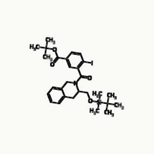 CC(C)(C)OC(=O)c1ccc(I)c(C(=O)N2Cc3ccccc3CC2CO[Si](C)(C)C(C)(C)C)c1